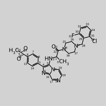 CC(Nc1c(-c2ccc(S(C)(=O)=O)cc2)nc2cnccn12)C(=O)N1CCN(Cc2c(F)cccc2Cl)CC1